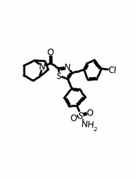 NS(=O)(=O)c1ccc(-c2sc(C(=O)N3C4CCCC3CC4)nc2-c2ccc(Cl)cc2)cc1